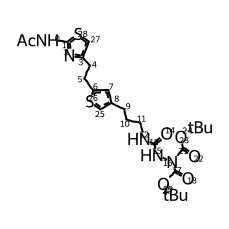 CC(=O)Nc1nc(CCc2cc(CCCNC(=O)NN(C(=O)OC(C)(C)C)C(=O)OC(C)(C)C)cs2)cs1